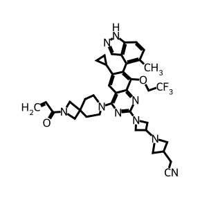 C=CC(=O)N1CC2(CCN(c3nc(N4CC(N5CC(CC#N)C5)C4)nc4c(OCC(F)(F)F)c(-c5c(C)ccc6[nH]ncc56)c(C5CC5)cc34)CC2)C1